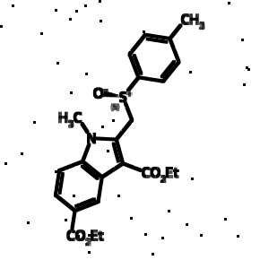 CCOC(=O)c1ccc2c(c1)c(C(=O)OCC)c(C[S@@+]([O-])c1ccc(C)cc1)n2C